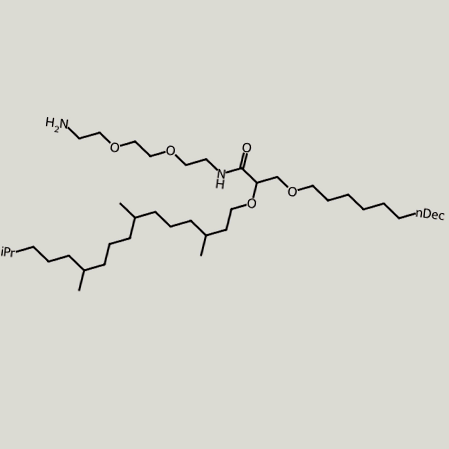 CCCCCCCCCCCCCCCCOCC(OCCC(C)CCCC(C)CCCC(C)CCCC(C)C)C(=O)NCCOCCOCCN